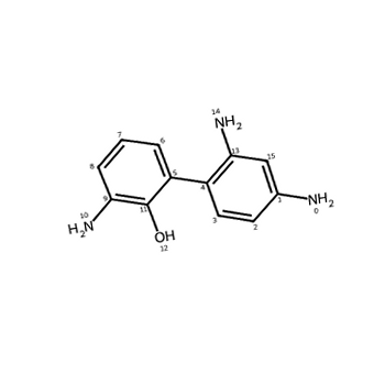 Nc1ccc(-c2cccc(N)c2O)c(N)c1